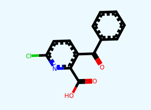 O=C(c1ccccc1)c1ccc(Cl)nc1C(=O)O